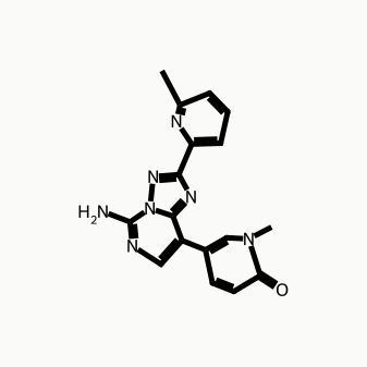 Cc1cccc(-c2nc3c(-c4ccc(=O)n(C)c4)cnc(N)n3n2)n1